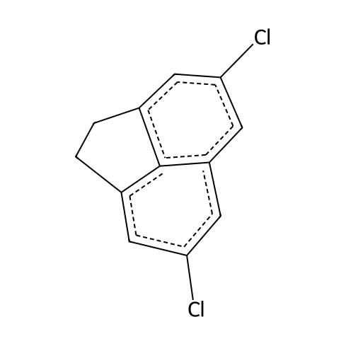 Clc1cc2c3c(cc(Cl)cc3c1)CC2